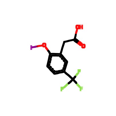 O=C(O)Cc1cc(C(F)(F)F)ccc1OI